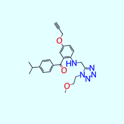 C#CCOc1ccc(NCc2nnnn2CCOC)c(C(=O)c2ccc(C(C)C)cc2)c1